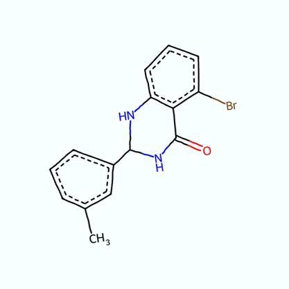 Cc1cccc(C2NC(=O)c3c(Br)cccc3N2)c1